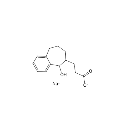 O=C([O-])CCC1CCCc2ccccc2C1O.[Na+]